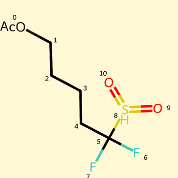 CC(=O)OCCCCC(F)(F)[SH](=O)=O